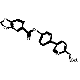 CCCCCCCCSc1ncc(-c2ccc(OC(=O)c3ccc4c(c3)OCO4)cc2)cn1